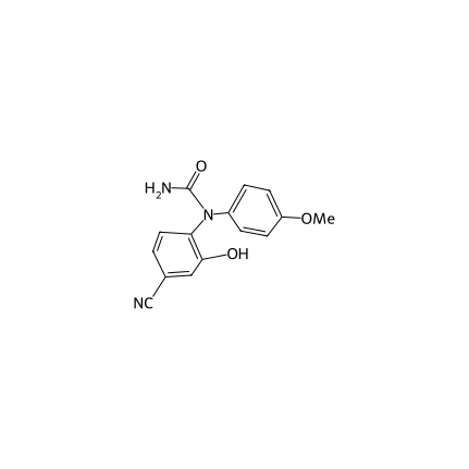 COc1ccc(N(C(N)=O)c2ccc(C#N)cc2O)cc1